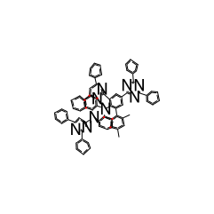 Cc1cc(C)c(-c2cc(-c3nc(-c4ccccc4)nc(-c4ccccc4)n3)cc(-c3nc(-c4ccccc4)cc(-c4ccccc4)n3)c2N2c3ccccc3N(c3cc(-c4ccccc4)nc(-c4ccccc4)n3)c3ccccc32)c(C)c1